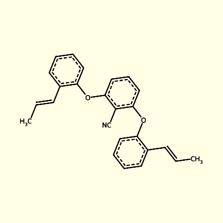 CC=Cc1ccccc1Oc1cccc(Oc2ccccc2C=CC)c1C#N